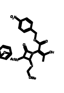 COCSC1C(NC(C)=O)C(=O)N1C(C(=O)OCc1ccc([N+](=O)[O-])cc1)=C(C)O.c1cc2cc(c1)O2